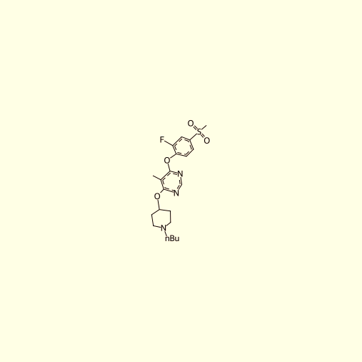 CCCCN1CCC(Oc2ncnc(Oc3ccc(S(C)(=O)=O)cc3F)c2C)CC1